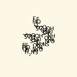 CON=C(C(=O)NC1C(=O)N2C(C(=O)O)=C([n+]3ccc4cc(C)sc4c3)SCC12)c1csc(N)n1.CON=C(C(=O)NC1C(=O)N2C(C(=O)O)=C([n+]3ccc4cc(C)sc4c3)SCC12)c1csc(N)n1.O=C([O-])C(F)(F)F.O=S(=O)([O-])C(F)(F)F